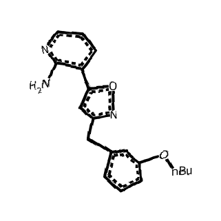 CCCCOc1cccc(Cc2cc(-c3cccnc3N)on2)c1